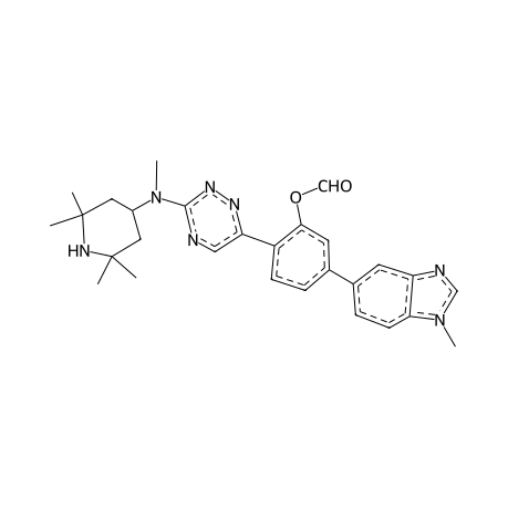 CN(c1ncc(-c2ccc(-c3ccc4c(c3)ncn4C)cc2OC=O)nn1)C1CC(C)(C)NC(C)(C)C1